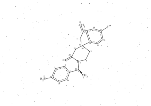 Bc1ccc([C@H](C)N2CC[C@](CC=C)(c3ccc(F)cc3)CC2=O)cc1